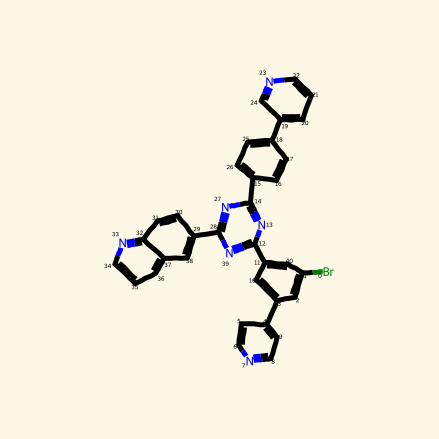 Brc1cc(-c2ccncc2)cc(-c2nc(-c3ccc(-c4cccnc4)cc3)nc(-c3ccc4ncccc4c3)n2)c1